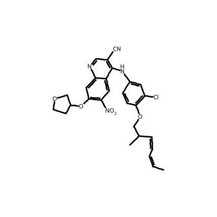 C/C=C\C=C/C(C)COc1ccc(Nc2c(C#N)cnc3cc(OC4CCOC4)c([N+](=O)[O-])cc23)cc1Cl